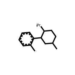 [CH2]c1ccccc1C1CC(C)CCC1C(C)C